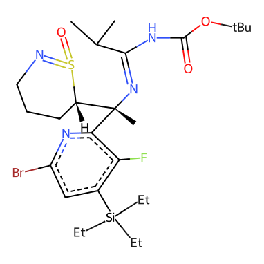 CC[Si](CC)(CC)c1cc(Br)nc([C@@]2(C)N=C(NC(=O)OC(C)(C)C)C(C)(C)[S@]3(=O)=NCCC[C@@H]23)c1F